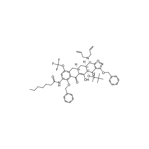 C=CCN(CC=C)[C@@H]1c2onc(OCc3ccccc3)c2C(=O)[C@@]2(O[Si](C)(C)C(C)(C)C)C(O)=C3C(=O)c4c(c(OC(F)(F)F)cc(NC(=O)CCCCCC)c4OCc4ccccc4)C[C@H]3C[C@@H]12